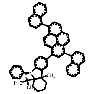 CC(C)(C)C12CCCCC1(C)c1cc(-c3cc(-c4cccc5ccccc45)c4ccc5ccc(-c6cccc7ccccc67)c6ccc3c4c56)ccc1N2c1ccccc1